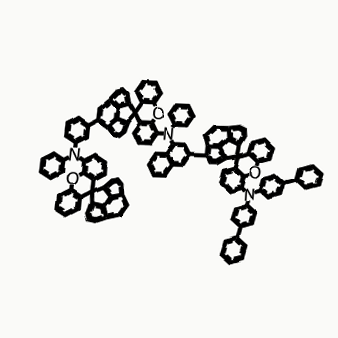 c1ccc(-c2ccc(N(c3ccc(-c4ccccc4)cc3)c3cccc4c3Oc3ccccc3C43c4cccc5ccc6c(-c7cc(N(c8ccccc8)c8cccc9c8Oc8ccccc8C98c9cccc%10cc(-c%11cccc(N(c%12ccccc%12)c%12cccc%13c%12Oc%12ccccc%12C%13%12c%13cccc%14ccc%15cccc%12c%15c%13%14)c%11)c%11cccc8c%11c9%10)c8ccccc8c7)ccc3c6c45)cc2)cc1